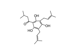 CC(C)=CCc1c(O)c(CC=C(C)C)c(O)c(C(=O)CC(C)C)c1O